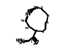 NC(=O)C1CCCCN=NCC1